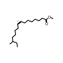 CCC(C)CCCC/C=C\CCCCCCC(=O)OC